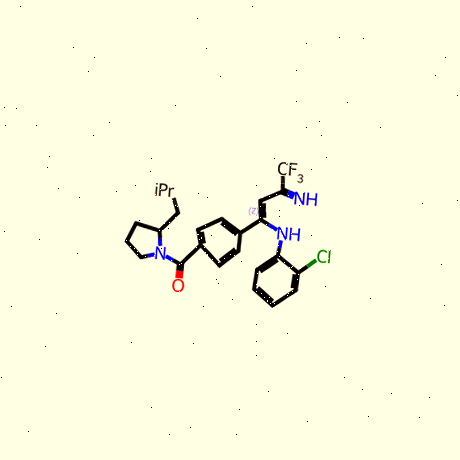 CC(C)CC1CCCN1C(=O)c1ccc(/C(=C/C(=N)C(F)(F)F)Nc2ccccc2Cl)cc1